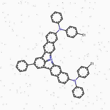 CCc1ccc(N(c2ccccc2)c2ccc3cc4c5cc(-c6ccccc6)cc6c7cc8ccc(N(c9ccccc9)c9ccc(CC)cc9)cc8cc7n(c4cc3c2)c56)cc1